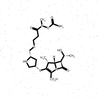 C[C@@H](O)[C@H]1C(=O)N2C(C(=O)O)=C(S[C@@H]3CN[C@H](CSCCC(=O)N(C)OC(N)=O)C3)[C@H](C)[C@H]12